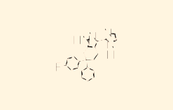 Fc1ccc(C2(c3ccccc3)C=Cc3c(-c4ncc[nH]4)n[nH]c3C2)cc1